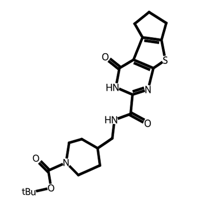 CC(C)(C)OC(=O)N1CCC(CNC(=O)c2nc3sc4c(c3c(=O)[nH]2)CCC4)CC1